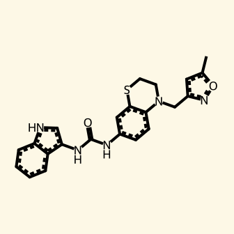 Cc1cc(CN2CCSc3cc(NC(=O)Nc4c[nH]c5ccccc45)ccc32)no1